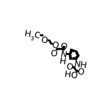 CCOCCOC(=O)C(=O)Nc1cccc(NC(=O)C(=O)O)c1